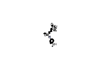 CNc1ccc(/N=N/c2n(C)cc[n+]2CCCCS(=O)(=O)[O-])cc1